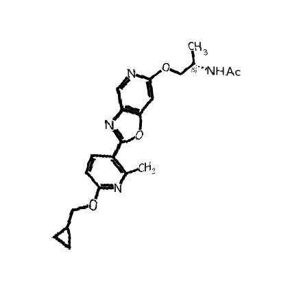 CC(=O)N[C@@H](C)COc1cc2oc(-c3ccc(OCC4CC4)nc3C)nc2cn1